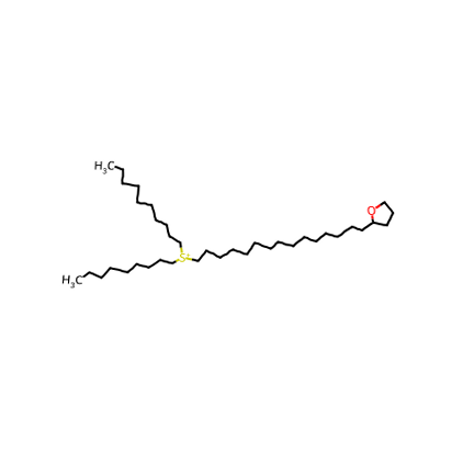 CCCCCCCCCC[S+](CCCCCCCCC)CCCCCCCCCCCCCCCC1CCCO1